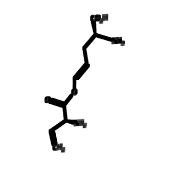 C=C[C@H](N)C(=O)O/C=C/C[C@H](N)C(=O)O